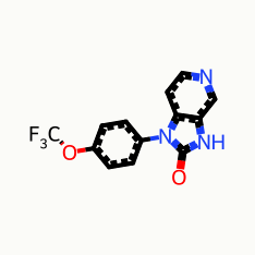 O=c1[nH]c2cnccc2n1-c1ccc(OC(F)(F)F)cc1